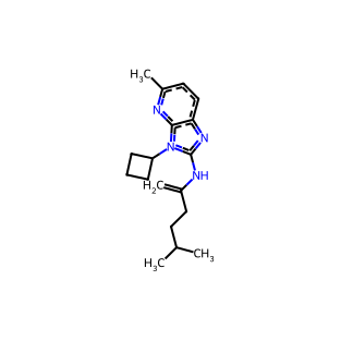 C=C(CCC(C)C)Nc1nc2ccc(C)nc2n1C1CCC1